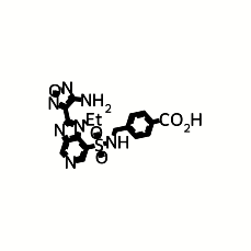 CCn1c(-c2nonc2N)nc2cncc(S(=O)(=O)NCc3ccc(C(=O)O)cc3)c21